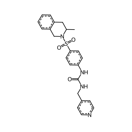 CC1Cc2ccccc2CN1S(=O)(=O)c1ccc(NC(=O)NCc2ccncc2)cc1